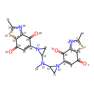 Cc1nc2c(s1)C(=O)C=C(N1CC1N(C)C1CN1C1=CC(=O)c3sc(C)nc3C1=O)C2=O